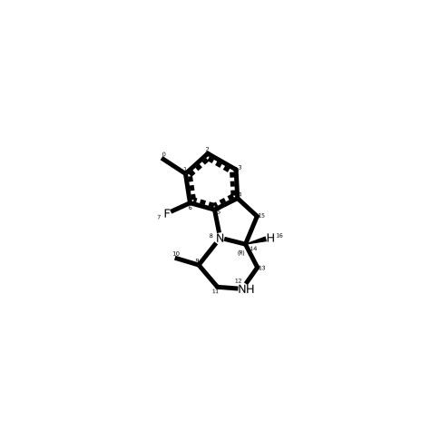 Cc1ccc2c(c1F)N1C(C)CNC[C@H]1C2